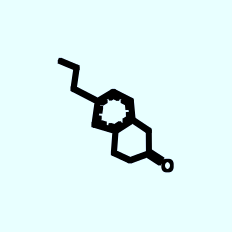 CCCc1ccc2c(c1)CCC(=O)C2